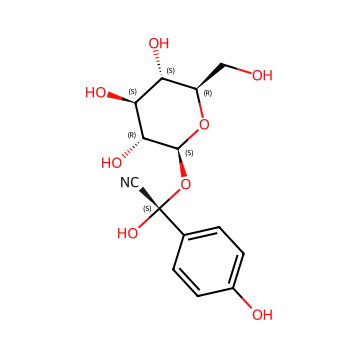 N#C[C@@](O)(O[C@@H]1O[C@H](CO)[C@@H](O)[C@H](O)[C@H]1O)c1ccc(O)cc1